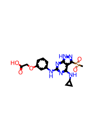 CS(=O)(=O)c1n[nH]c2nc(Nc3cccc(OCC(=O)O)c3)nc(NC3CC3)c12